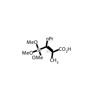 CCC/C(=C(/C)C(=O)O)[Si](OC)(OC)OC